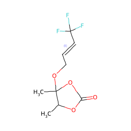 CC1OC(=O)OC1(C)OC/C=C/C(F)(F)F